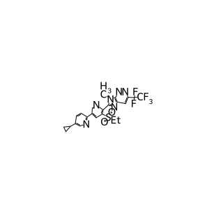 CCS(=O)(=O)c1cc(-c2ccc(C3CC3)cn2)cnc1-c1nc2cc(C(F)(F)C(F)(F)F)nnc2n1C